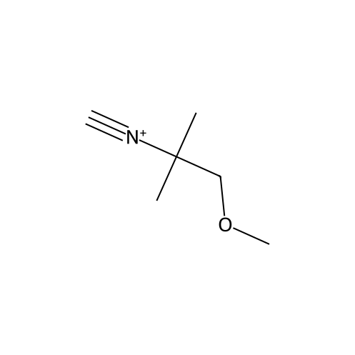 C#[N+]C(C)(C)COC